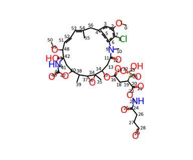 COc1cc2cc(c1Cl)N(C)C(=O)CC(OC(=O)CC(C(=O)ONC(=O)CCC=O)S(=O)(=O)O)C1(C)OC1C(C)C1CC(O)(NC(=O)O1)C(OC)/C=C/C=C(\C)C2